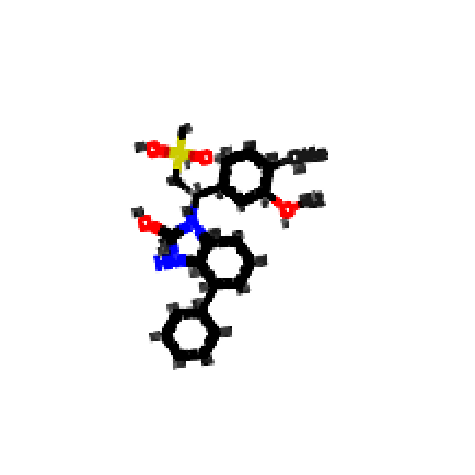 CCOc1cc([C@@H](CS(C)(=O)=O)n2c(=O)[nH]c3c(-c4ccccc4)cccc32)ccc1OC